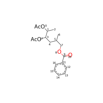 CC(=O)OC(C)C(CC(C)COC(=O)c1ccccc1)OC(C)=O